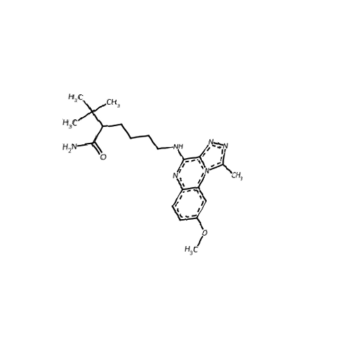 COc1ccc2nc(NCCCCC(C(N)=O)C(C)(C)C)c3nnc(C)n3c2c1